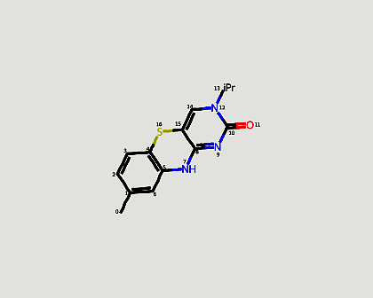 Cc1ccc2c(c1)Nc1nc(=O)n(C(C)C)cc1S2